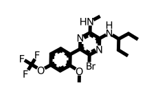 CCC(CC)Nc1nc(Br)c(-c2ccc(OC(F)(F)F)cc2OC)nc1NC